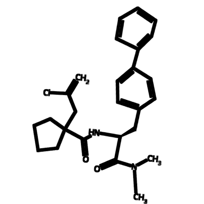 C=C(Cl)CC1(C(=O)N[C@@H](Cc2ccc(-c3ccccc3)cc2)C(=O)N(C)C)CCCC1